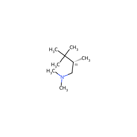 C[C@H](CN(C)C)C(C)(C)C